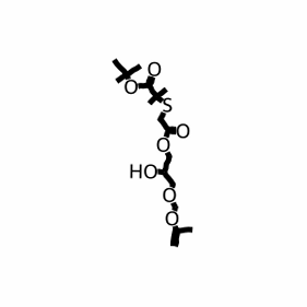 C=C(C)OCOCC(O)COC(=O)CSC(C)(C)C(=O)OC(C)(C)C